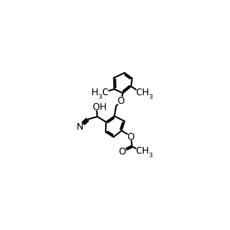 CC(=O)Oc1ccc(C(O)C#N)c(COc2c(C)cccc2C)c1